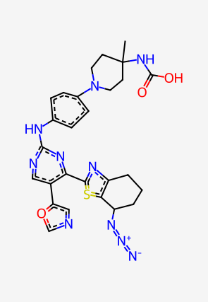 CC1(NC(=O)O)CCN(c2ccc(Nc3ncc(-c4cnco4)c(-c4nc5c(s4)C(N=[N+]=[N-])CCC5)n3)cc2)CC1